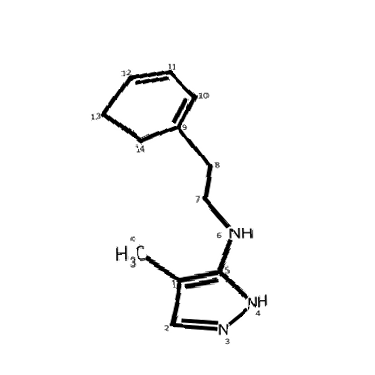 Cc1cn[nH]c1NCCC1=CC=CCC1